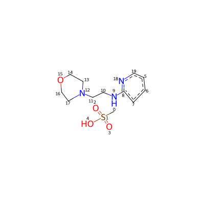 CS(=O)(=O)O.c1ccc(NCCN2CCOCC2)nc1